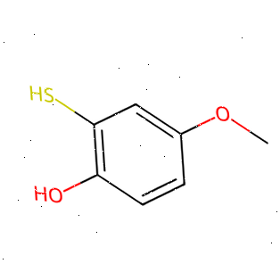 COc1ccc(O)c(S)c1